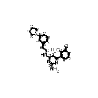 Cc1c(Cl)cccc1-c1cc(NCCc2cccc(N3CCCC3)c2)nc(N)n1